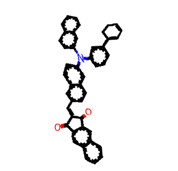 O=C1C(=Cc2ccc3cc(N(c4cccc(C5=CC=CCC5)c4)c4ccc5ccccc5c4)ccc3c2)C(=O)c2cc3ccccc3cc21